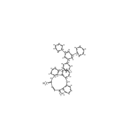 C=C1/C=C\C(=C)c2ccccc2Oc2ccccc2-c2c(cccc2-c2cccc(-c3nc(-c4ccccc4)nc(-c4ccccc4)n3)c2)C1